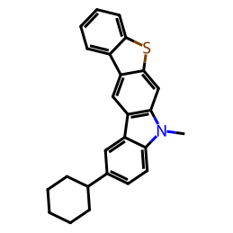 Cn1c2ccc(C3CCCCC3)cc2c2cc3c(cc21)sc1ccccc13